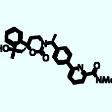 CNC(=O)c1cccc(-c2ccc([C@H](C)N3CC[C@](CC(C)(C)O)(c4ccccc4)OC3=O)cc2)n1